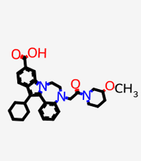 COC1CCCN(C(=O)CN2CCn3c(c(C4CCCCC4)c4ccc(C(=O)O)cc43)-c3ccccc32)C1